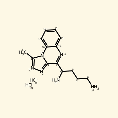 Cc1nnc2c(C(N)CCCN)nc3ccccc3n12.Cl.Cl